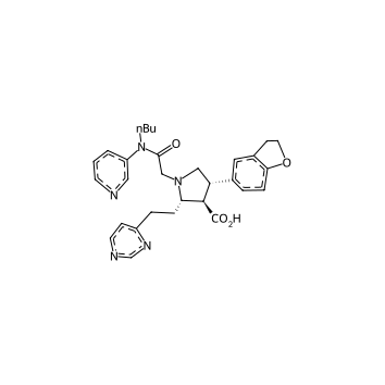 CCCCN(C(=O)CN1C[C@H](c2ccc3c(c2)CCO3)[C@@H](C(=O)O)[C@@H]1CCc1ccncn1)c1cccnc1